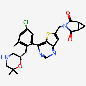 Cc1cc(Cl)cc(-c2ncnc3cc(CN4C(=O)C5CC5C4=O)sc23)c1C[C@@H]1CNCC(C)(C)O1